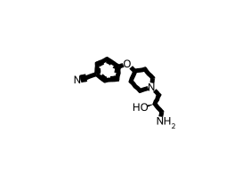 N#Cc1ccc(OC2CCN(C[C@@H](O)CN)CC2)cc1